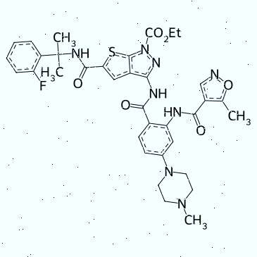 CCOC(=O)n1nc(NC(=O)c2ccc(N3CCN(C)CC3)cc2NC(=O)c2cnoc2C)c2cc(C(=O)NC(C)(C)c3ccccc3F)sc21